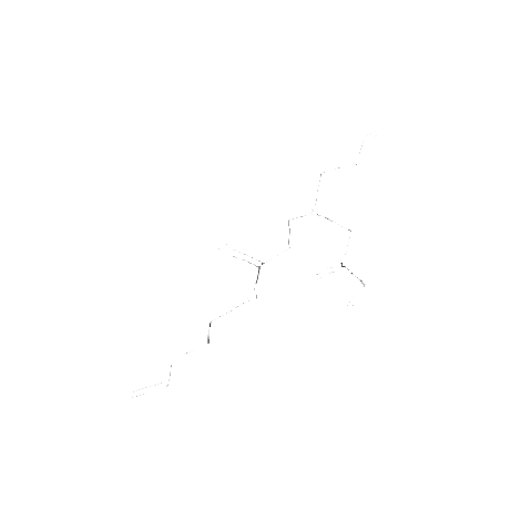 O=COCCOC(=O)CCN(CC(=O)C=O)CC(=O)C=O